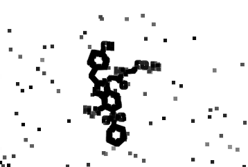 CCOC(=O)CNC(=O)Cn1c(Cc2ccc(C#N)cc2)nc2c(N)c(S(=O)(=O)c3ccccc3)ccc21